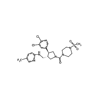 CS(=O)(=O)N1CCN(C(=O)N2C[C@H](CNc3ccc(C(F)(F)F)cn3)[C@@H](c3ccc(Cl)c(Cl)c3)C2)CC1